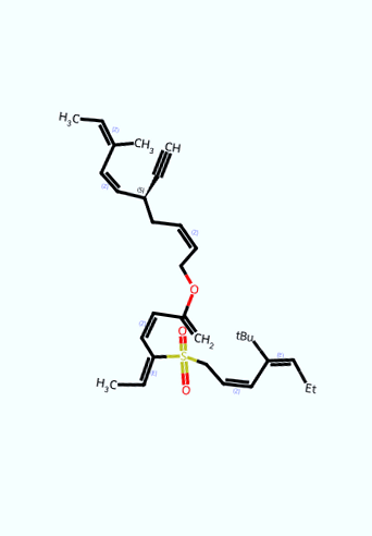 C#C[C@H](/C=C\C(C)=C/C)C/C=C\COC(=C)/C=C\C(=C/C)S(=O)(=O)C/C=C\C(=C/CC)C(C)(C)C